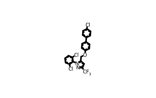 FC(F)(F)c1cc(COc2ccc(-c3ccc(Cl)cc3)cc2)n(-c2c(Cl)cccc2Cl)n1